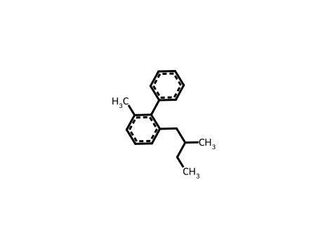 CCC(C)Cc1cccc(C)c1-c1ccccc1